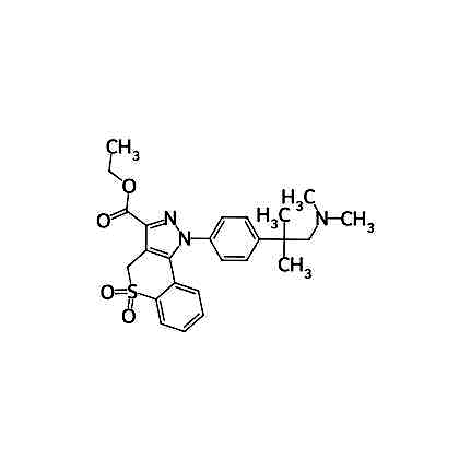 CCOC(=O)c1nn(-c2ccc(C(C)(C)CN(C)C)cc2)c2c1CS(=O)(=O)c1ccccc1-2